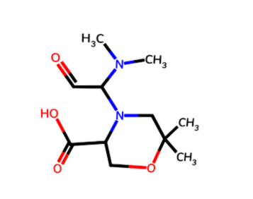 CN(C)C(C=O)N1CC(C)(C)OCC1C(=O)O